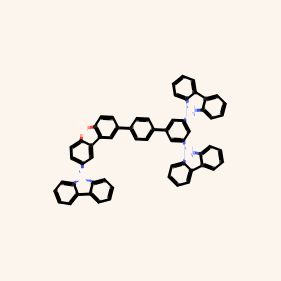 c1ccc2c(c1)c1ccccc1n2-c1cc(-c2ccc(-c3ccc4oc5ccc(-n6c7ccccc7c7ccccc76)cc5c4c3)cc2)cc(-n2c3ccccc3c3ccccc32)c1